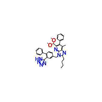 CCCCc1nc2c(C)c(-c3ccccc3)c(C(OC)OC)nc2n1Cc1ccc(-c2ccccc2)c(-c2nnn[nH]2)c1